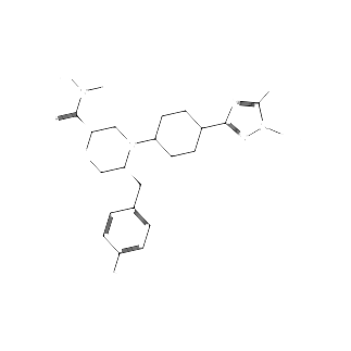 CN(C)C(=O)[C@H]1CN(C2CCC(c3nc(O)n(C)n3)CC2)[C@@H](Cc2ccc(Cl)cc2)CO1